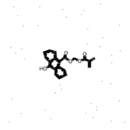 C=C(C)C(=O)OCOC(=O)c1c2ccccc2c(O)c2ccccc12